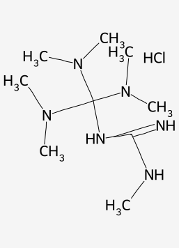 CNC(=N)NC(N(C)C)(N(C)C)N(C)C.Cl